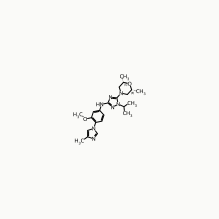 COc1cc(Nc2nc(N3C[C@@H](C)O[C@@H](C)C3)n(C(C)C)n2)ccc1-n1cnc(C)c1